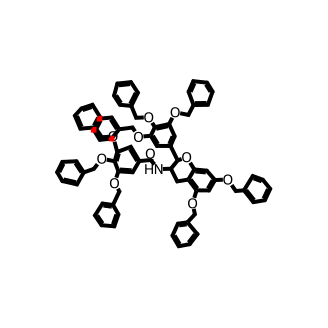 O=C(NC1Cc2c(OCc3ccccc3)cc(OCc3ccccc3)cc2OC1c1cc(OCc2ccccc2)c(OCc2ccccc2)c(OCc2ccccc2)c1)c1cc(OCc2ccccc2)c(OCc2ccccc2)c(OCc2ccccc2)c1